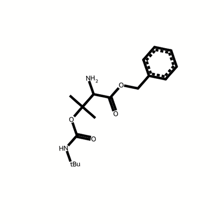 CC(C)(C)NC(=O)OC(C)(C)C(N)C(=O)OCc1ccccc1